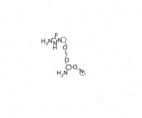 N=C(/C(F)=C\N)N1CCCC(COC/C=C/COCc2cc(N)cc(OCCN3CCCC3)c2)C1